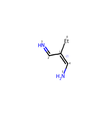 CC/C(C=N)=C/N